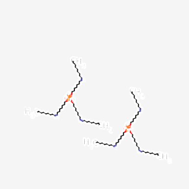 CCCCCCCC/C=C\CCCCCCCCOP(OCCCCCCCC/C=C\CCCCCCCC)OCCCCCCCC/C=C\CCCCCCCC.CCCCCCCC/C=C\CCCCCCCCOP(OCCCCCCCC/C=C\CCCCCCCC)OCCCCCCCC/C=C\CCCCCCCC